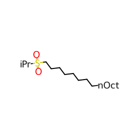 CCCCCCCCCCCCCCCCS(=O)(=O)C(C)C